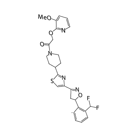 COc1cccnc1OCC(=O)N1CCC(c2nc(C3=NOC(c4[c]cccc4C(F)F)C3)cs2)CC1